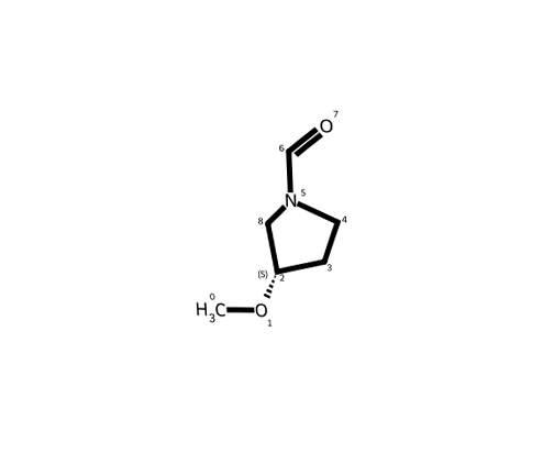 CO[C@H]1CCN(C=O)C1